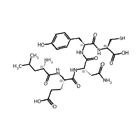 CC(C)C[C@H](N)C(=O)N[C@@H](CCC(=O)O)C(=O)N[C@@H](CC(N)=O)C(=O)N[C@@H](Cc1ccc(O)cc1)C(=O)N[C@@H](CS)C(=O)O